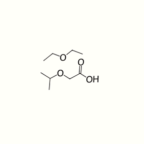 CC(C)OCC(=O)O.CCOCC